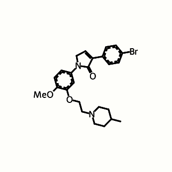 COc1ccc(N2CC=C(c3ccc(Br)cc3)C2=O)cc1OCCN1CCC(C)CC1